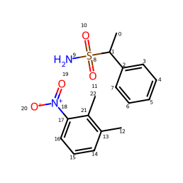 CC(c1ccccc1)S(N)(=O)=O.Cc1cccc([N+](=O)[O-])c1C